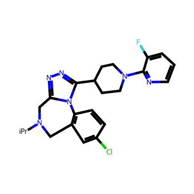 CC(C)N1Cc2cc(Cl)ccc2-n2c(nnc2C2CCN(c3ncccc3F)CC2)C1